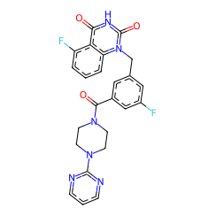 O=C(c1cc(F)cc(Cn2c(=O)[nH]c(=O)c3c(F)cccc32)c1)N1CCN(c2ncccn2)CC1